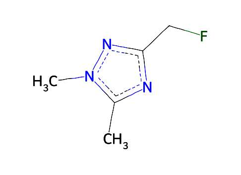 Cc1nc(CF)nn1C